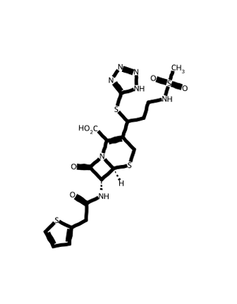 CS(=O)(=O)NCCC(Sc1nnn[nH]1)C1=C(C(=O)O)N2C(=O)[C@@H](NC(=O)Cc3cccs3)[C@@H]2SC1